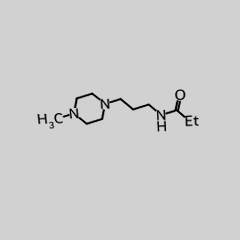 CCC(=O)NCCCN1CCN(C)CC1